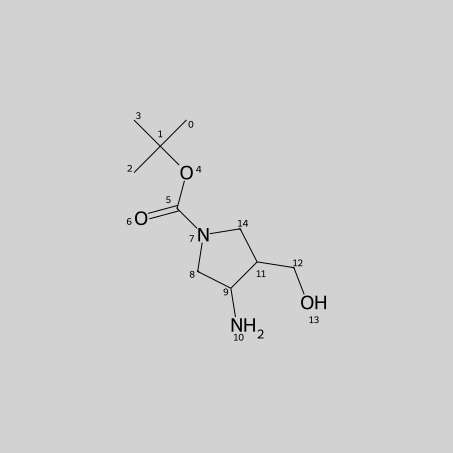 CC(C)(C)OC(=O)N1CC(N)C(CO)C1